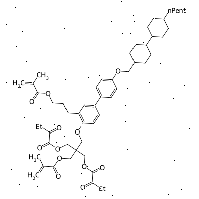 C=C(C)C(=O)OCCCc1cc(-c2ccc(OCC3CCC(C4CCC(CCCCC)CC4)CC3)cc2)ccc1OCC(COC(=O)C(=C)C)(COC(=O)C(=O)CC)COC(=O)C(=O)CC